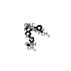 CC(=O)N[C@H]1CCN(c2cc3c(NC(C)c4cccc(C(C)(F)F)c4F)nc(C)nc3cn2)C1